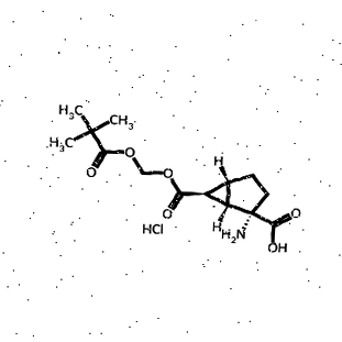 CC(C)(C)C(=O)OCOC(=O)[C@H]1[C@@H]2CC[C@@](N)(C(=O)O)[C@@H]21.Cl